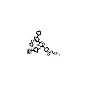 CCOC(=O)N1CCN(C(=O)[C@H](Cc2ccc(-c3nnn[nH]3)cc2)NC(=O)c2cc(OC3CCCC3)nc(-c3ccccc3)n2)CC1